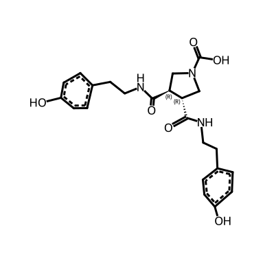 O=C(NCCc1ccc(O)cc1)[C@H]1CN(C(=O)O)C[C@@H]1C(=O)NCCc1ccc(O)cc1